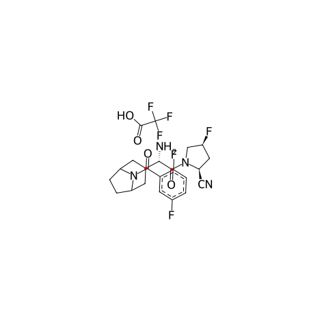 N#C[C@@H]1C[C@H](F)CN1C(=O)[C@@H](N)C1CC2CCC(C1)N2C(=O)c1cc(F)ccc1F.O=C(O)C(F)(F)F